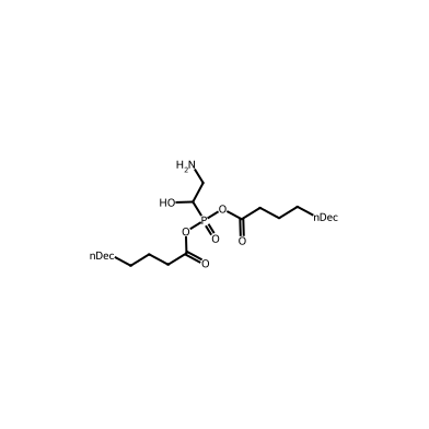 CCCCCCCCCCCCCC(=O)OP(=O)(OC(=O)CCCCCCCCCCCCC)C(O)CN